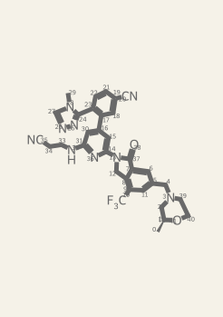 C[C@H]1CN(Cc2cc3c(c(C(F)(F)F)c2)CN(c2cc(-c4cc(C#N)ccc4-c4nncn4C)cc(NCCC#N)n2)C3=O)CCO1